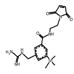 [CH3][Sn]([CH3])([CH3])[c]1cc(CNC(=N)N)cc(C(=O)NCCN2C(=O)C=CC2=O)c1